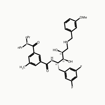 CCCN(CCC)C(=O)c1cc(C)cc(C(=O)N[C@@H](Cc2cc(F)cc(F)c2)[C@H](O)[C@@H](O)CNCc2cccc(OC)c2)c1